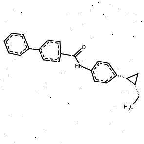 CC[C@H]1C[C@H]1c1ccc(NC(=O)c2ccc(-c3ccccc3)cc2)cc1